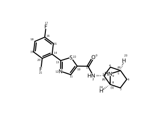 O=C(N[C@@H]1C[C@H]2CC[C@@H]1N2)c1cnc(-c2cc(F)ccc2F)s1